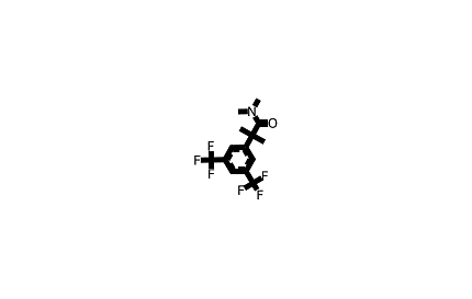 CN(C)C(=O)C(C)(C)c1cc(C(F)(F)F)cc(C(F)(F)F)c1